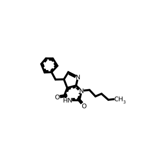 CCCCCn1c2c(c(=O)[nH]c1=O)C(Cc1ccccc1)C=N2